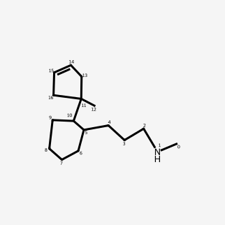 CNCCCC1CCCCC1C1(C)CC=CC1